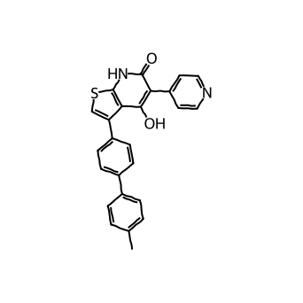 Cc1ccc(-c2ccc(-c3csc4[nH]c(=O)c(-c5ccncc5)c(O)c34)cc2)cc1